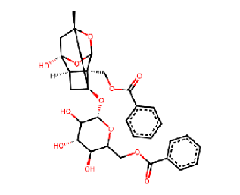 C[C@@]12C[C@@]3(O)OC(O1)[C@]1(COC(=O)c4ccccc4)[C@H]3C[C@]21O[C@@H]1OC(COC(=O)c2ccccc2)[C@@H](O)[C@H](O)C1O